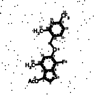 CC(=O)Oc1csc2c(F)c(OCc3ccc(C(F)(F)F)nc3C)cc(C)c12